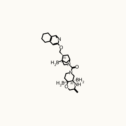 B[C@]12CC(C[C@@H]1COc1cc3c(cn1)CCCC3)N(C(=O)N1CC[C@]3(B)OCC(=C)N[C@]3(B)C1)C2